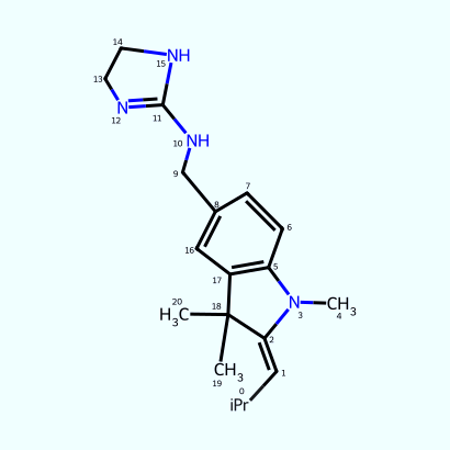 CC(C)C=C1N(C)c2ccc(CNC3=NCCN3)cc2C1(C)C